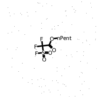 CCCCCOC(=O)C(F)(F)S(=O)(=O)F